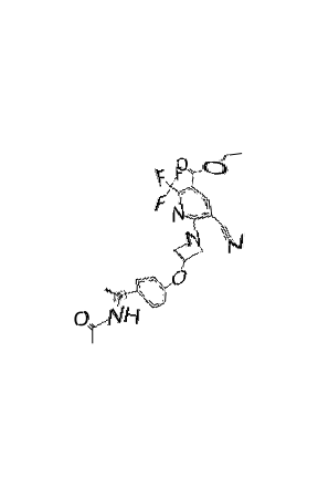 CCOC(=O)c1cc(C#N)c(N2CC(Oc3ccc([C@H](C)NC(C)=O)cc3)C2)nc1C(F)(F)F